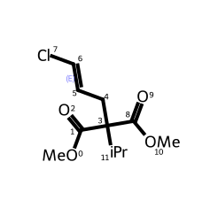 COC(=O)C(C/C=C/Cl)(C(=O)OC)C(C)C